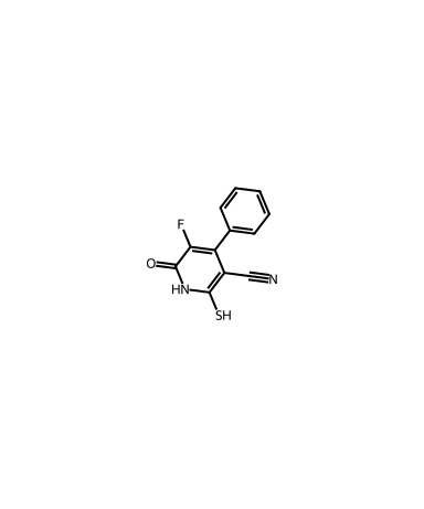 N#Cc1c(S)[nH]c(=O)c(F)c1-c1ccccc1